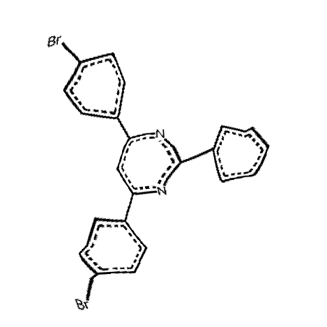 Brc1ccc(-c2cc(-c3ccc(Br)cc3)nc(-c3ccccc3)n2)cc1